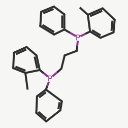 Cc1ccccc1P(CCCP(c1ccccc1)c1ccccc1C)c1ccccc1